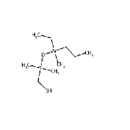 CCC[Si](C)(CC)O[Si](C)(C)CS